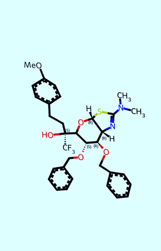 COc1ccc(CC[C@](O)(C2O[C@@H]3SC(N(C)C)=N[C@@H]3[C@@H](OCc3ccccc3)[C@@H]2OCc2ccccc2)C(F)(F)F)cc1